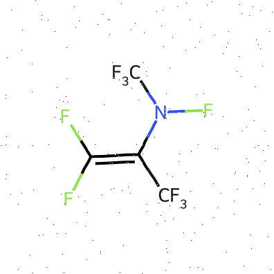 FC(F)=C(N(F)C(F)(F)F)C(F)(F)F